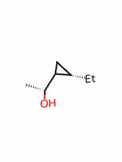 CC[C@H]1CC1[C@@H](C)O